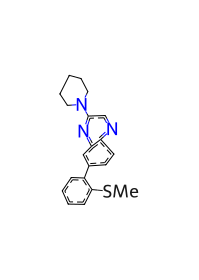 CSc1ccccc1-c1ccc2ncc(N3CCCCC3)nc2c1